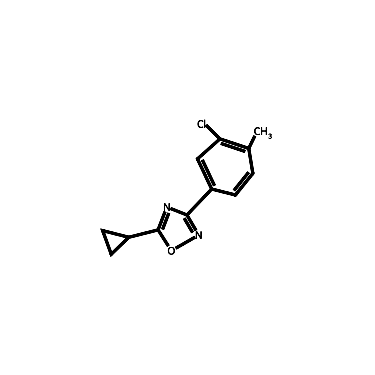 Cc1ccc(-c2noc(C3CC3)n2)cc1Cl